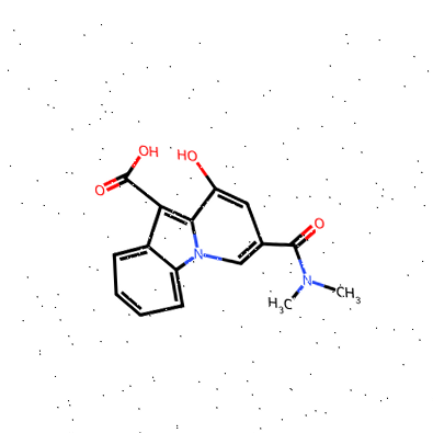 CN(C)C(=O)c1cc(O)c2c(C(=O)O)c3ccccc3n2c1